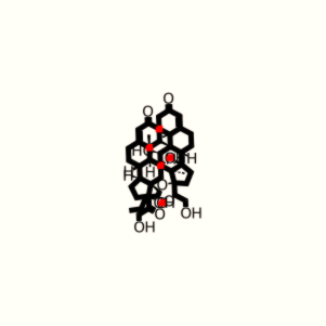 CCCC(=O)O[C@@]1(C(=O)CO)CC[C@H]2[C@@H]3CCC4=CC(=O)CC[C@]4(C)[C@@]3(C3CC(=O)C=C4CC[C@@H]5[C@H]([C@@H](O)C[C@@]6(C)[C@H]5CC[C@]6(O)C(=O)CO)[C@]43C)[C@@H](O)C[C@@]21C